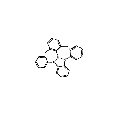 Cc1cccc(C)c1B1N(c2ccccc2)c2ccccc2N1c1ccccn1